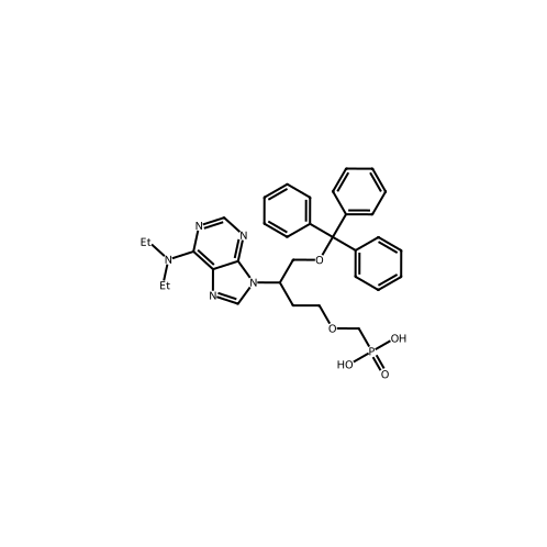 CCN(CC)c1ncnc2c1ncn2C(CCOCP(=O)(O)O)COC(c1ccccc1)(c1ccccc1)c1ccccc1